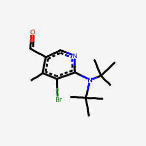 Cc1c(C=O)cnc(N(C(C)(C)C)C(C)(C)C)c1Br